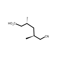 C[C@H](CC#N)C[C@@H](C)CC(=O)O